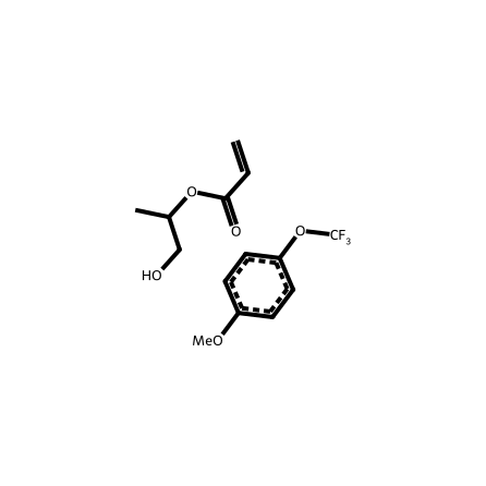 C=CC(=O)OC(C)CO.COc1ccc(OC(F)(F)F)cc1